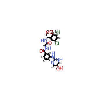 O=C(O)C[C@@H](NC(=O)CNC(=O)c1cccc(NC2=NCC(O)CN2)c1)c1cc(Cl)cc(Cl)c1O